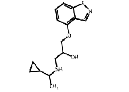 CC(NCC(O)COc1cccc2sncc12)C1CC1